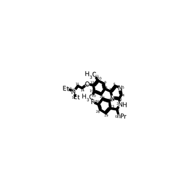 CCCC(Nc1cncc(-c2cc(C)c(OCCN(CC)CC)c(C)c2)n1)c1ccc(F)cc1